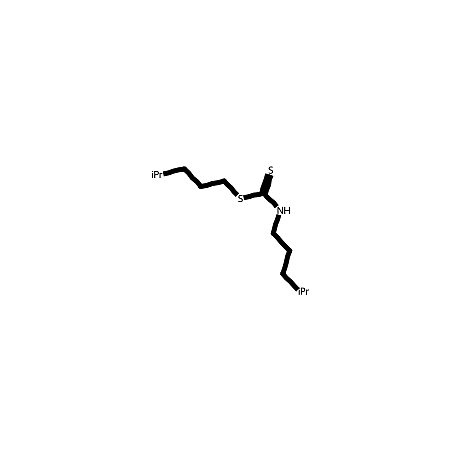 CC(C)CCCNC(=S)SCCCC(C)C